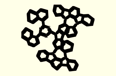 c1ccc(-n2c3ccccc3c3ccc4c5ccccc5n(-c5ccc6c7ccc(-n8c9ccccc9c9ccc%10c%11ccccc%11n(-c%11ccccc%11)c%10c98)cc7n(-c7nc(-c8cccc9ccccc89)nc(-c8cccc9ccccc89)n7)c6c5)c4c32)cc1